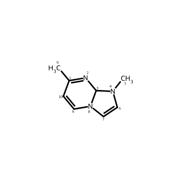 CC1=NC2N(C)C=CN2C=C1